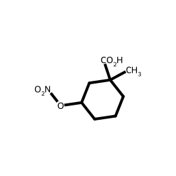 CC1(C(=O)O)CCCC(O[N+](=O)[O-])C1